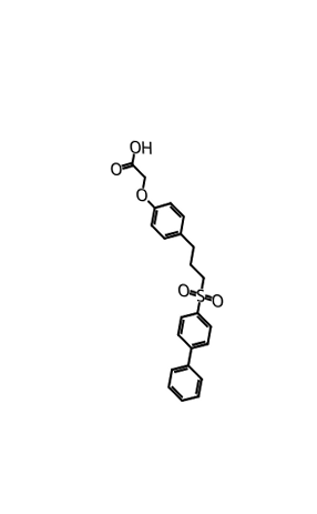 O=C(O)COc1ccc(CCCS(=O)(=O)c2ccc(-c3ccccc3)cc2)cc1